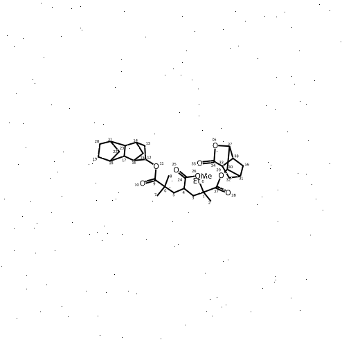 CCC(C)(CC(CC(C)(C)C(=O)OC1CC2CC1C1C3CCC(C3)C21)C(=O)OC)C(=O)OC1C2CC3C(=O)OC1C3C2